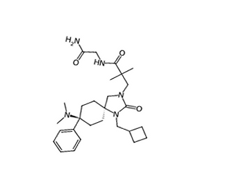 CN(C)[C@]1(c2ccccc2)CC[C@]2(CC1)CN(CC(C)(C)C(=O)NCC(N)=O)C(=O)N2CC1CCC1